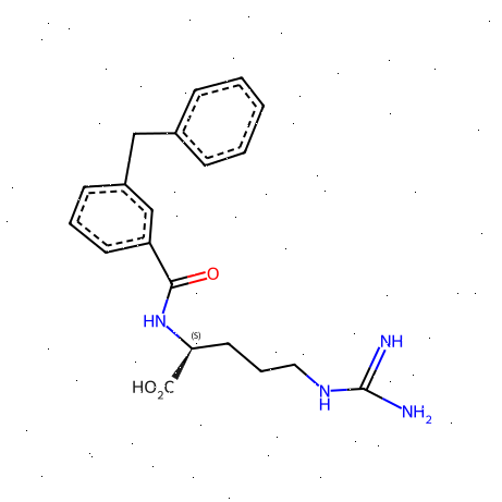 N=C(N)NCCC[C@H](NC(=O)c1cccc(Cc2ccccc2)c1)C(=O)O